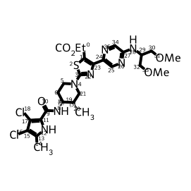 CCOC(=O)c1sc(N2CC[C@@H](NC(=O)c3[nH]c(C)c(Cl)c3Cl)[C@@H](C)C2)nc1-c1cnc(NC(COC)COC)cn1